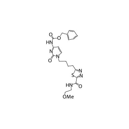 COCCNC(=O)c1nnc(CCCCn2ccc(NC(=O)OCc3ccccc3)nc2=O)s1